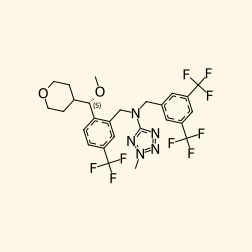 CO[C@H](c1ccc(C(F)(F)F)cc1CN(Cc1cc(C(F)(F)F)cc(C(F)(F)F)c1)c1nnn(C)n1)C1CCOCC1